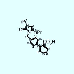 CCCc1cn(C(C)C)c(=O)n1Cc1ccc(-c2ccccc2C(=O)O)cc1